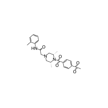 Cc1ccccc1NC(=O)CN1C[C@@H](C)N(S(=O)(=O)c2ccc(S(C)(=O)=O)cc2)[C@@H](C)C1